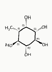 C[C@@H]1[C@H](O)[C@H](O)[C@@H](O)[C@H](O)[C@H]1O